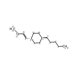 CCCCC[C@H]1CC[C@H](C=COC)CC1